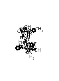 Cc1ccc(S(=O)(=O)N[C@H](CC(=O)O)C(=O)N[C@@H](CCC(=O)O)C(=O)NCC(=O)N[C@@H](Cc2cccc(F)c2)C(=O)N[C@@H](Cc2c[nH]c3ccccc23)C(=O)N[C@@H](CCC(=O)O)C(N)=O)cc1